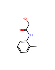 [CH2]c1ccccc1NC(=O)CO